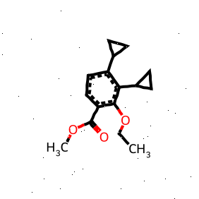 CCOc1c(C(=O)OC)ccc(C2CC2)c1C1CC1